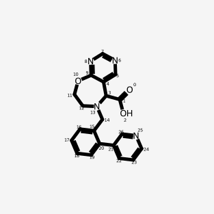 O=C(O)C1c2cncnc2OCCN1Cc1ccccc1-c1cccnc1